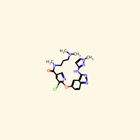 CN(C)CCCN(C)C(=O)c1cnc(Oc2ccc3ncnc(Nc4ccn(C)n4)c3c2)c(Cl)c1